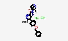 CCCCc1nnc(C(=O)N[C@@H]2CN3CCC2CC3)cc1-c1ccc(OCc2ccccc2)cc1.Cl.Cl